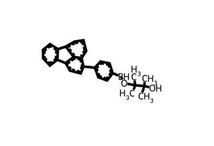 CC(C)(O)C(C)(C)OBc1ccc(-c2ccc3c4c(cccc24)-c2ccccc2-3)cc1